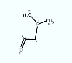 CP(C)CN=O